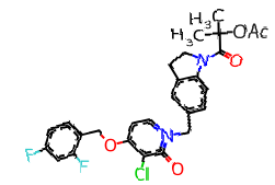 CC(=O)OC(C)(C)C(=O)N1CCc2cc(Cn3ccc(OCc4ccc(F)cc4F)c(Cl)c3=O)ccc21